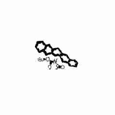 CC(C)(C)OC(=O)N=S=O.c1ccc2cc3cc4cc5ccccc5cc4cc3cc2c1